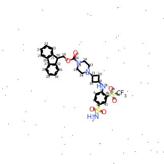 NS(=O)(=O)c1ccc(NC2CC(N3CCN(C(=O)OCC4c5ccccc5-c5ccccc54)CC3)C2)c(S(=O)(=O)C(F)(F)F)c1